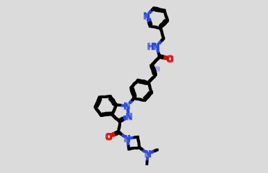 CN(C)C1CN(C(=O)c2nn(-c3ccc(/C=C/C(=O)NCc4cccnc4)cc3)c3ccccc23)C1